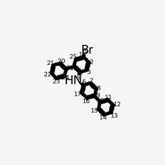 Brc1ccc(Nc2ccc(-c3ccccc3)cc2)c(-c2ccccc2)c1